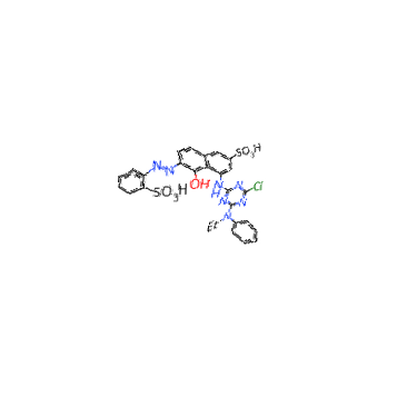 CCN(c1ccccc1)c1nc(Cl)nc(Nc2cc(S(=O)(=O)O)cc3ccc(N=Nc4ccccc4S(=O)(=O)O)c(O)c23)n1